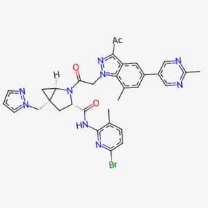 CC(=O)c1nn(CC(=O)N2[C@H](C(=O)Nc3nc(Br)ccc3C)C[C@@]3(Cn4cccn4)C[C@@H]23)c2c(C)cc(-c3cnc(C)nc3)cc12